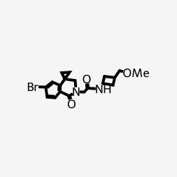 COCC1CC(NC(=O)CN2CC3(CC3)c3cc(Br)ccc3C2=O)C1